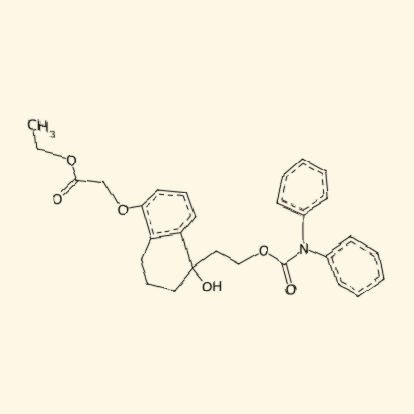 CCOC(=O)COc1cccc2c1CCCC2(O)CCOC(=O)N(c1ccccc1)c1ccccc1